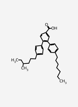 CCCCCCCc1ccc(-c2cc(C(=O)O)ccc2-c2ccc(CCCC(C)CC)cc2)cc1